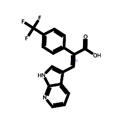 O=C(O)/C(=C/c1c[nH]c2ncccc12)c1ccc(C(F)(F)F)cc1